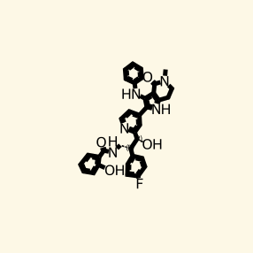 CN1CCc2[nH]c(-c3ccnc([C@H](O)[C@@H](CNC(=O)c4ccccc4O)c4ccc(F)cc4)c3)c(Nc3ccccc3)c2C1=O